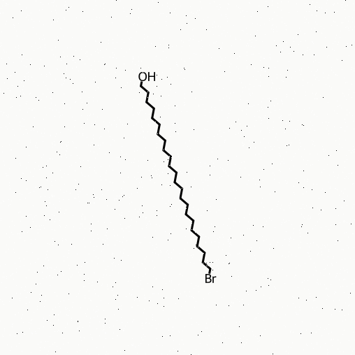 OCCCCCCCCCCCCCCCCCCCCCCCCBr